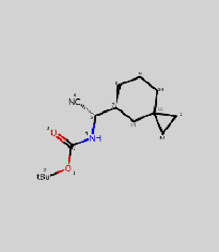 CC(C)(C)OC(=O)N[C@H](C#N)[C@H]1CCCC2(CC2)C1